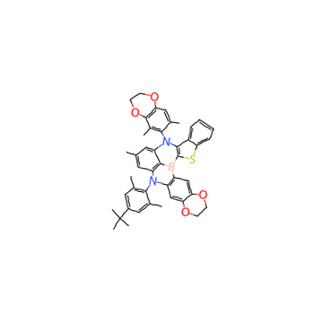 Cc1cc2c3c(c1)N(c1c(C)cc4c(c1C)OCCO4)c1c(sc4ccccc14)B3c1cc3c(cc1N2c1c(C)cc(C(C)(C)C)cc1C)OCCO3